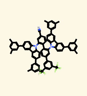 Cc1cc(C)cc(-c2ccc3c(c2)c2cc(-c4cc(C)cc(C)c4)ccc2n3-c2cc(C#N)ccc2-c2ccc(-c3cc(C(F)(F)F)cc(C(F)(F)F)c3)cc2-n2c3ccc(-c4cc(C)cc(C)c4)cc3c3cc(-c4cc(C)cc(C)c4)ccc32)c1